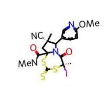 CNC(=O)C12C[C@](C)(C#N)C(c3ccc(OC)nc3)N1C(=O)[C@@](C)(I)SC(=S)S2